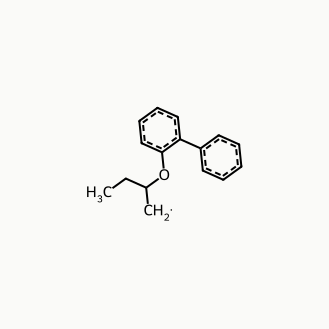 [CH2]C(CC)Oc1ccccc1-c1ccccc1